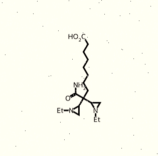 CCN1CC1C(CCCCCCCC(=O)O)(C(N)=O)C1CN1CC